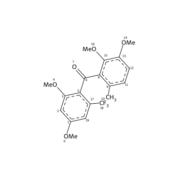 COc1cc(OC)c(C(=O)c2c(C)ccc(OC)c2OC)c(C(F)(F)F)c1